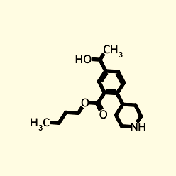 CCCCOC(=O)c1cc(C(C)O)ccc1C1CCNCC1